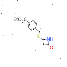 CCOC(=O)c1ccc(CSC2CC(=O)N2)cc1